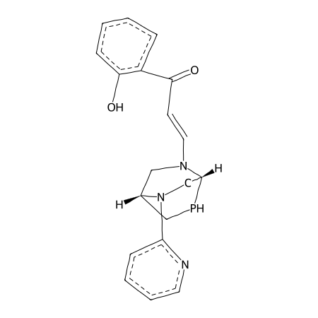 O=C(/C=C/N1C[C@H]2CP[C@@H]1CN2c1ccccn1)c1ccccc1O